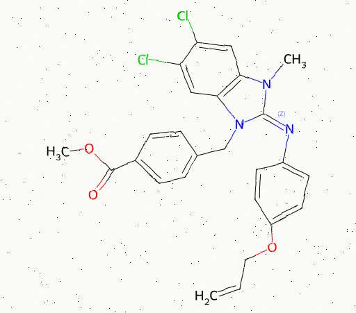 C=CCOc1ccc(/N=c2/n(C)c3cc(Cl)c(Cl)cc3n2Cc2ccc(C(=O)OC)cc2)cc1